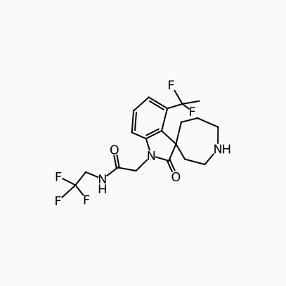 CC(F)(F)c1cccc2c1C1(CCCNCC1)C(=O)N2CC(=O)NCC(F)(F)F